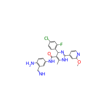 COc1cc(C2=NC(c3ccc(Cl)cc3F)C(C(=O)Nc3ccc(N)c(C=N)c3)=C(C)N2)ccn1